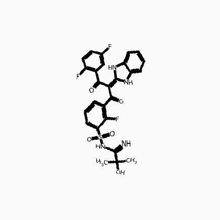 CC(C)(O)C(=N)NS(=O)(=O)c1cccc(C(=O)C(C(=O)c2cc(F)ccc2F)=C2Nc3ccccc3N2)c1F